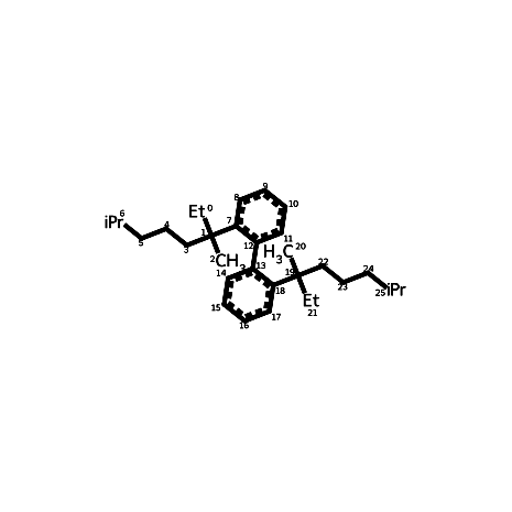 CCC(C)(CCCC(C)C)c1ccccc1-c1ccccc1C(C)(CC)CCCC(C)C